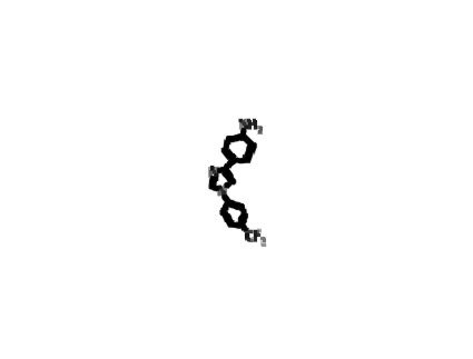 Nc1ccc(-c2cn(-c3ccc(C(F)(F)F)cc3)cn2)cc1